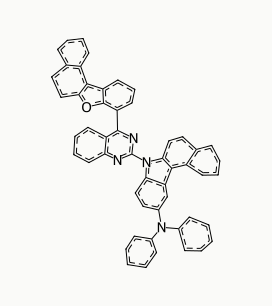 c1ccc(N(c2ccccc2)c2ccc3c(c2)c2c4ccccc4ccc2n3-c2nc(-c3cccc4c3oc3ccc5ccccc5c34)c3ccccc3n2)cc1